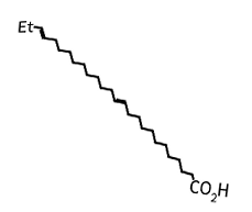 CCC=CCCCCCCCCCC=CCCCCCCCCCCC(=O)O